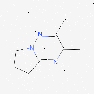 C=C1N=C2CCCN2N=C1C